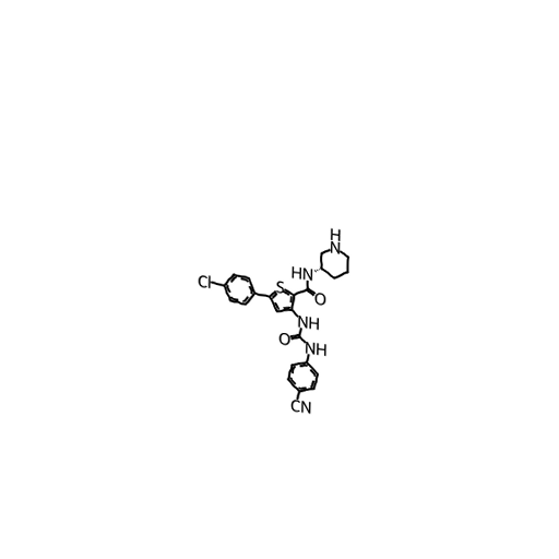 N#Cc1ccc(NC(=O)Nc2cc(-c3ccc(Cl)cc3)sc2C(=O)N[C@H]2CCCNC2)cc1